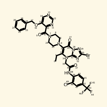 CCc1c(N2CCN(C(=O)c3ncncc3OCc3ccccc3)CC2)c(=O)n2nc(Br)nc2n1CC(=O)Nc1ccc(C(F)(F)F)cc1Cl